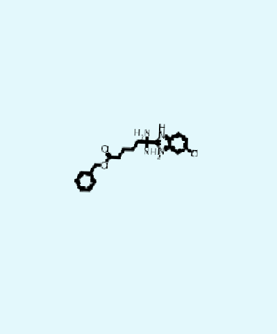 NC(N)(CCCCC(=O)OCc1ccccc1)c1nc2cc(Cl)ccc2[nH]1